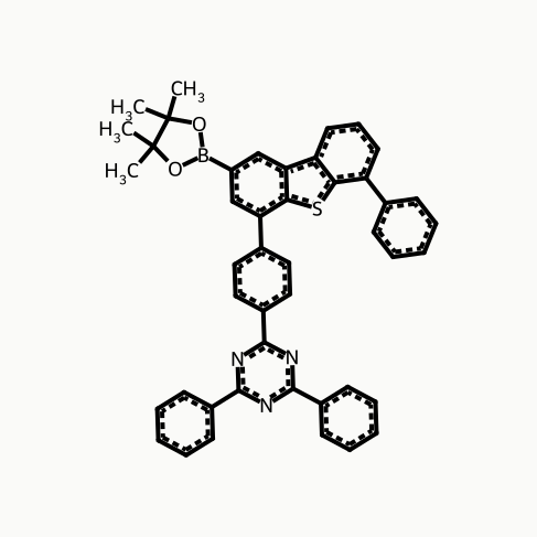 CC1(C)OB(c2cc(-c3ccc(-c4nc(-c5ccccc5)nc(-c5ccccc5)n4)cc3)c3sc4c(-c5ccccc5)cccc4c3c2)OC1(C)C